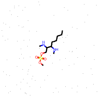 CCCCCC(NC)C(COS(=O)(=O)OC)NC